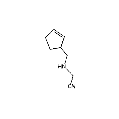 N#CCNCC1C=CCC1